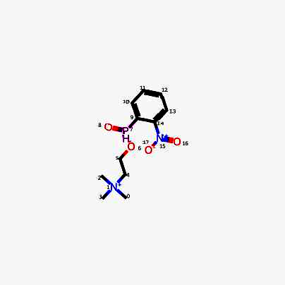 C[N+](C)(C)CCO[PH](=O)c1ccccc1[N+](=O)[O-]